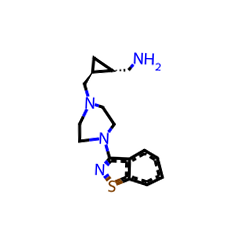 NC[C@H]1C[C@@H]1CN1CCN(c2nsc3ccccc23)CC1